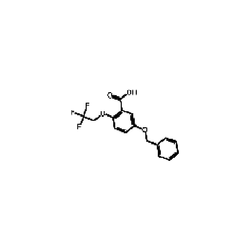 O=C(O)c1cc(OCc2ccccc2)ccc1OCC(F)(F)F